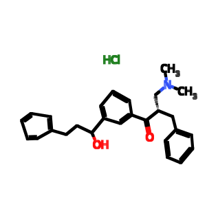 CN(C)C[C@H](Cc1ccccc1)C(=O)c1cccc(C(O)CCc2ccccc2)c1.Cl